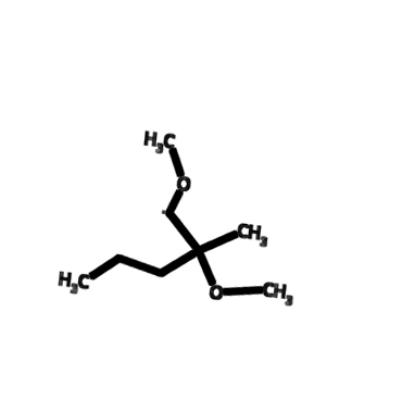 CCCC(C)([CH]OC)OC